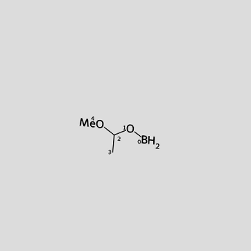 BOC(C)OC